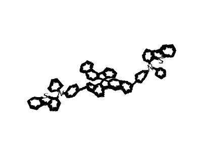 c1ccc(N(c2ccc(-c3ccc4cc5c(cc4c3)C3(c4ccccc4-c4c3ccc3ccccc43)c3c-5ccc4cc(-c5ccc(N(c6ccccc6)c6cccc7c6sc6ccccc67)cc5)ccc34)cc2)c2cccc3c2sc2ccccc23)cc1